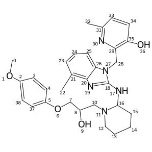 COc1ccc(OCC(O)CN2CCCCC2Nc2nc3c(C)cccc3n2Cc2nc(C)ccc2O)cc1